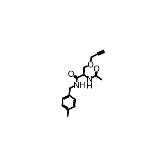 C#CCOCC(NC(C)=O)C(=O)NCc1ccc(C)cc1